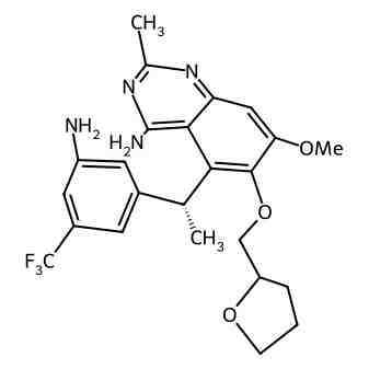 COc1cc2nc(C)nc(N)c2c([C@H](C)c2cc(N)cc(C(F)(F)F)c2)c1OCC1CCCO1